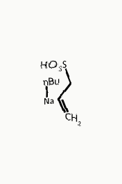 C=CCS(=O)(=O)O.CCC[CH2][Na]